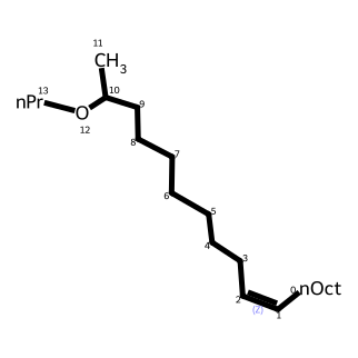 CCCCCCCC/C=C\CCCCCCCC(C)OCCC